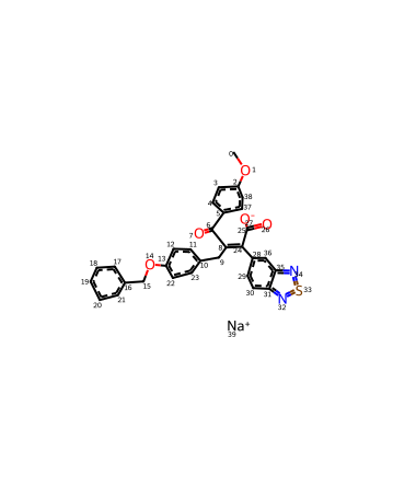 COc1ccc(C(=O)C(Cc2ccc(OCc3ccccc3)cc2)=C(C(=O)[O-])c2ccc3nsnc3c2)cc1.[Na+]